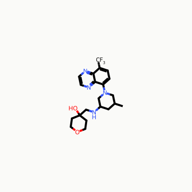 CC1CC(NCC2(O)CCOCC2)CN(c2ccc(C(F)(F)F)c3nccnc23)C1